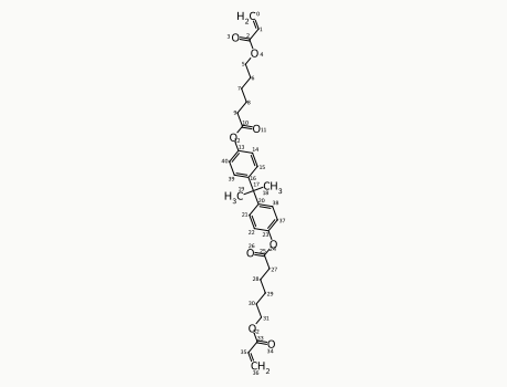 C=CC(=O)OCCCCCC(=O)Oc1ccc(C(C)(C)c2ccc(OC(=O)CCCCCOC(=O)C=C)cc2)cc1